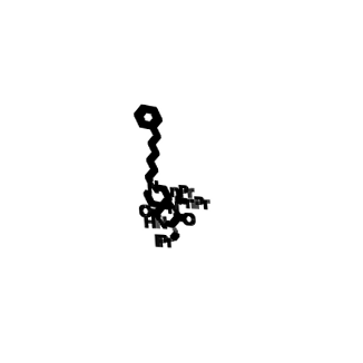 CCCC(CCC)N1C(=O)[C@H](CC(C)C)NC(=O)C12CCN(CCCCCCc1ccccc1)CC2